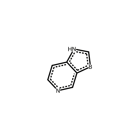 b1c[nH]c2ccncc12